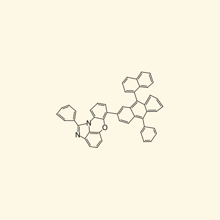 c1ccc(-c2c3ccccc3c(-c3cccc4ccccc34)c3cc(-c4cccc5c4Oc4cccc6nc(-c7ccccc7)n-5c46)ccc23)cc1